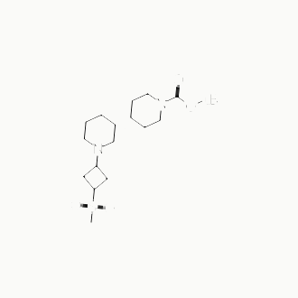 CC(C)(C)OC(=O)N1CCC([C@H]2CCCN(C3CC(S(C)(=O)=O)C3)C2)CC1